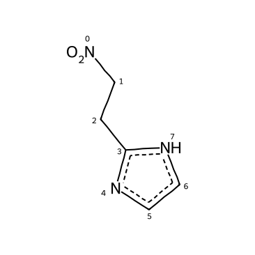 O=[N+]([O-])CCc1ncc[nH]1